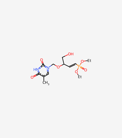 CCOP(=O)(C=CC(CO)OCn1cc(C)c(=O)[nH]c1=O)OCC